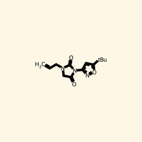 C=CCN1CC(=O)N(c2cc(C(C)(C)C)on2)C1=O